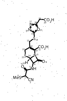 CSC(C#N)C(=O)NC1C(=O)N2C(C(=O)O)=C(CSc3nnc(CC(=O)O)o3)CS[C@@H]12